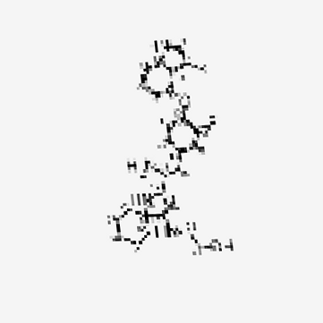 Cc1c[nH]c2nccc(Oc3ccc(C[C@H](N)CNC4(C(=O)NCCO)CCCCC4)cc3F)c12